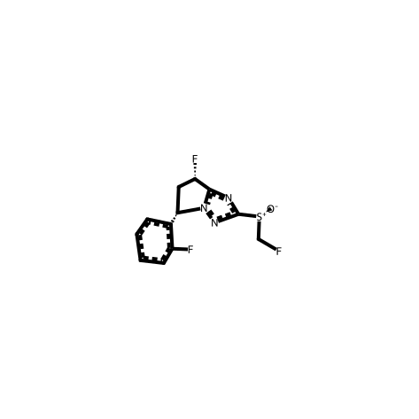 [O-][S@@+](CF)c1nc2n(n1)[C@H](c1ccccc1F)C[C@@H]2F